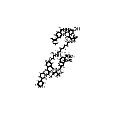 Cc1ncsc1-c1ccc([C@H](C)NC(=O)[C@@H]2C[C@@H](O)CN2C(=O)C(NC(=O)CCCCCCNC(=O)COc2ccc3c(c2)CN(C(=O)C(NC(=O)c2cc4cc(C(F)(F)P(=O)(O)O)ccc4s2)C(C)(C)C)C(C(=O)N2CCCC(c4ccccc4)C2)C3)C(C)(C)C)cc1